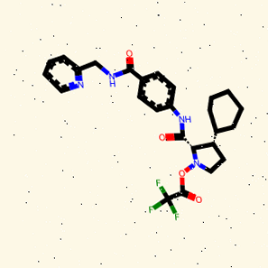 O=C(NCc1ccccn1)c1ccc(NC(=O)[C@@H]2[C@H](C3CCCCC3)CCN2OC(=O)C(F)(F)F)cc1